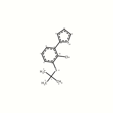 CC(C)(C)Sc1cccc(-c2cccs2)c1Cl